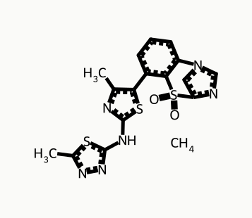 C.Cc1nnc(Nc2nc(C)c(-c3cccc4c3S(=O)(=O)c3cn-4cn3)s2)s1